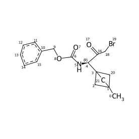 CC12CC([C@@H](NC(=O)OCc3ccccc3)C(=O)CBr)(C1)C2